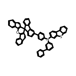 c1ccc(-c2cccc(N(c3ccc(-c4ccc5c(c4)-c4ccccc4C54c5ccc6ccccc6c5Oc5c4ccc4ccccc54)cc3)c3ccc4c(c3)sc3ccccc34)c2)cc1